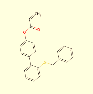 C=CC(=O)Oc1ccc(-c2ccccc2SCc2ccccc2)cc1